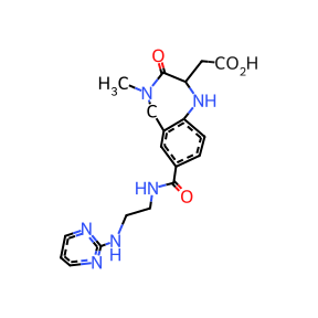 CN1Cc2cc(C(=O)NCCNc3ncccn3)ccc2NC(CC(=O)O)C1=O